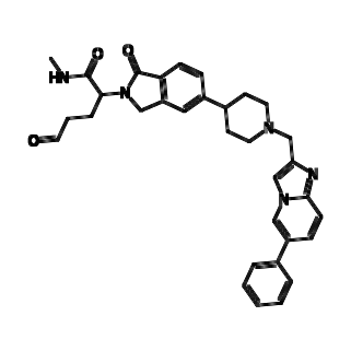 CNC(=O)C(CCC=O)N1Cc2cc(C3CCN(Cc4cn5cc(-c6ccccc6)ccc5n4)CC3)ccc2C1=O